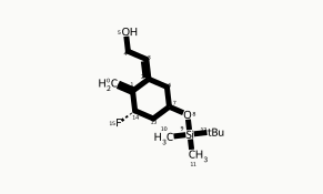 C=C1/C(=C\CO)CC(O[Si](C)(C)C(C)(C)C)C[C@@H]1F